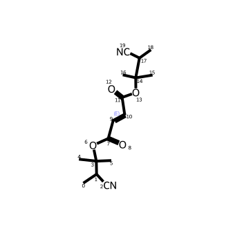 CC(C#N)C(C)(C)OC(=O)/C=C/C(=O)OC(C)(C)C(C)C#N